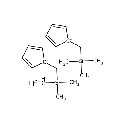 C[Si](C)(C)C[c-]1cccc1.C[Si](C)(C)C[c-]1cccc1.[Hf+2]